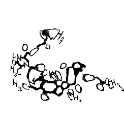 COC(=O)COC(=O)C1CN(C(=O)Cn2c(C)cc3c(=O)c4ccc5c(OC)c6c(=O)c7c(OCC(=O)OC)cccc7c(=O)c6c(O)c5c4c(=O)c3c2=O)C(C)C(=O)N1